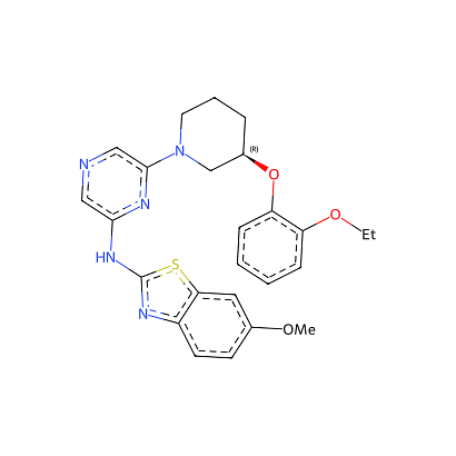 CCOc1ccccc1O[C@@H]1CCCN(c2cncc(Nc3nc4ccc(OC)cc4s3)n2)C1